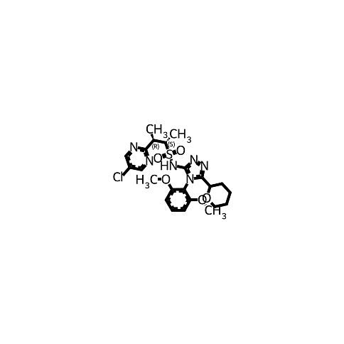 COc1cccc(OC)c1-n1c(NS(=O)(=O)[C@@H](C)[C@H](C)c2ncc(Cl)cn2)nnc1C1CCCCO1